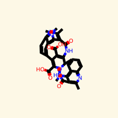 Cc1nc2ccc3cc2c(N(C)C)c1C(=O)NN1C(C(=O)O)=c2c(C(=O)O)c([nH]c(=O)c4c(C)nc5ccc2cc5c4N(C)C)C31